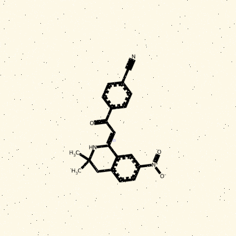 CC1(C)Cc2ccc([N+](=O)[O-])cc2/C(=C/C(=O)c2ccc(C#N)cc2)N1